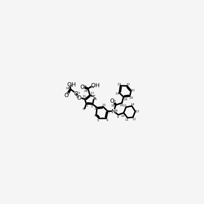 Cc1c(-c2cccc(N(CC3CCCCC3)C(=O)Cc3ccccc3)c2)sc(C(=O)O)c1OCC(=O)O